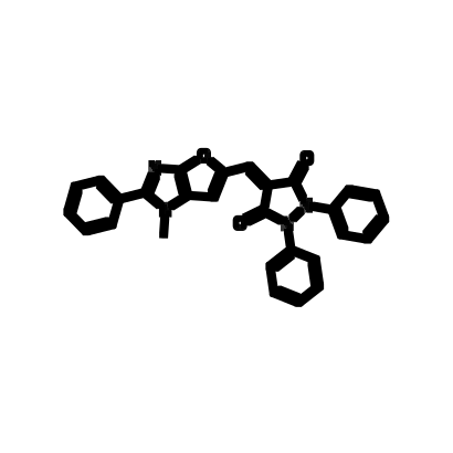 Cn1c(-c2ccccc2)nc2oc(C=C3C(=O)N(c4ccccc4)N(c4ccccc4)C3=O)cc21